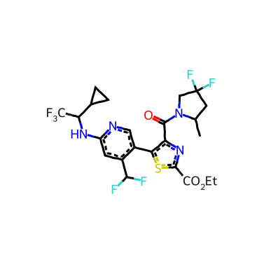 CCOC(=O)c1nc(C(=O)N2CC(F)(F)CC2C)c(-c2cnc(NC(C3CC3)C(F)(F)F)cc2C(F)F)s1